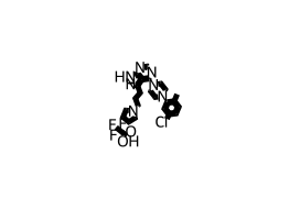 Cc1ccc(Cl)cc1N1CCN(c2ncnc3[nH]nc(CCCN4CCCC4)c23)CC1.O=C(O)C(F)(F)F